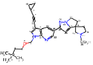 C[Si](C)(C)CCOCn1cc(C#CC2CC2)c2cc(-c3cc4n(n3)CCC43CCN(C(=O)O)C3)cnc21